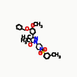 COc1ccc(C2=NN(C3CCN(S(=O)(=O)c4cccc(C)c4)CC3)C(=O)C2(C)C)cc1OCc1ccccc1